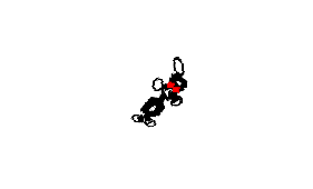 O=C1CC2=C3C(=O)N(c4ccc([N+](=O)[O-])cc4)C(=O)C3C1CC2